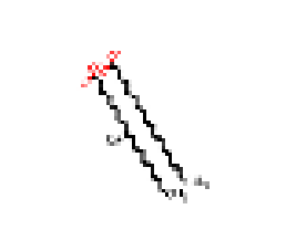 CCC=CC=CC=CC=CCCCCCCCC(=O)[O-].CCC=CC=CC=CC=CCCCCCCCC(=O)[O-].[Ca+2]